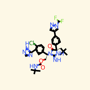 CC(C)(C)C[C@]1(c2ccc(-c3cnn(C(F)F)c3)cc2)NC(=N)N([C@H](COC(=O)NC(C)(C)C)c2ccc(Cl)c(-c3ncn[nH]3)c2)C1=O